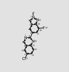 Cn1cc2cc(-c3ncc4cc(Cl)ccc4n3)cc(F)c2n1